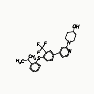 CC(C)c1ccccc1Sc1ccc(-c2ccnc(N3CCC(O)CC3)c2)cc1C(F)(F)F